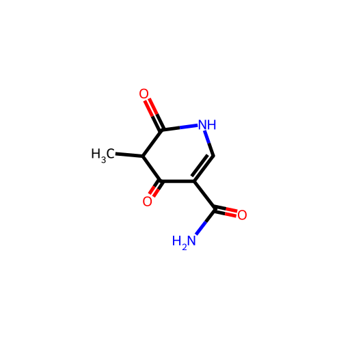 CC1C(=O)NC=C(C(N)=O)C1=O